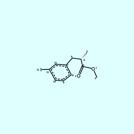 COC(=O)[C@@H](C)Cc1cccc(I)c1